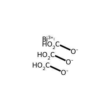 O=C([O-])O.O=C([O-])O.O=C([O-])O.[Bi+3]